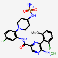 COc1cccc(F)c1-c1nc(C(=O)Nc2cc(F)ccc2N2CCC(NS(N)(=O)=O)CC2)cnc1N.Cl